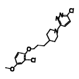 COc1ccc(OCCCC2CCN(c3ccc(Cl)nn3)CC2)c(Cl)c1